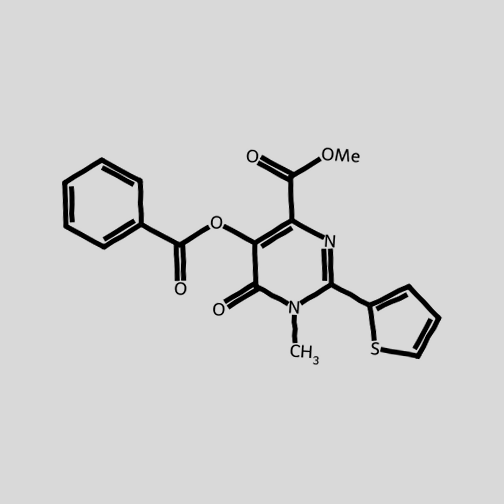 COC(=O)c1nc(-c2cccs2)n(C)c(=O)c1OC(=O)c1ccccc1